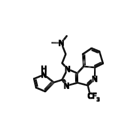 CN(C)CCn1c(-c2ccc[nH]2)nc2c(C(F)(F)F)nc3ccccc3c21